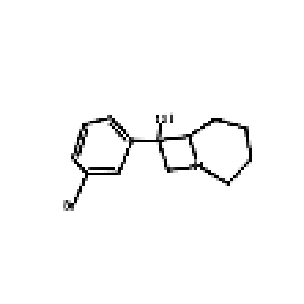 OC1(c2cccc(Br)c2)CN2CCCCC21